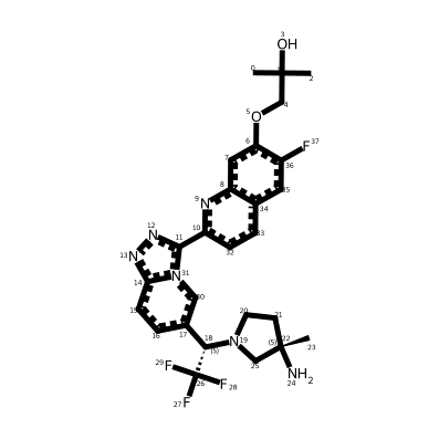 CC(C)(O)COc1cc2nc(-c3nnc4ccc([C@H](N5CC[C@](C)(N)C5)C(F)(F)F)cn34)ccc2cc1F